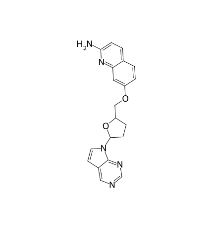 Nc1ccc2ccc(OCC3CCC(n4ccc5cncnc54)O3)cc2n1